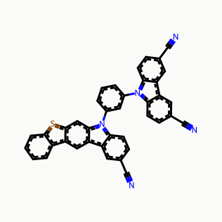 N#Cc1ccc2c(c1)c1cc(C#N)ccc1n2-c1cccc(-n2c3ccc(C#N)cc3c3cc4c(cc32)sc2ccccc24)c1